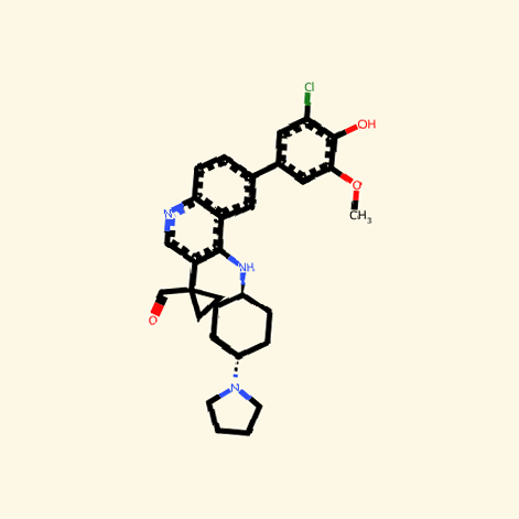 COc1cc(-c2ccc3ncc(C4(C=O)CC4)c(N[C@H]4CC[C@H](N5CCCC5)CC4)c3c2)cc(Cl)c1O